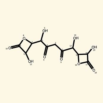 O=C(CC(=O)C(O)C1OC(=O)C1O)C(O)C1OC(=O)C1O